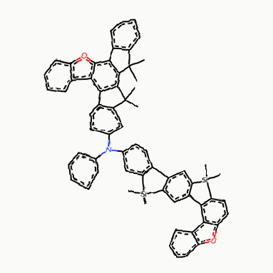 CC1(C)c2ccccc2-c2c1c1c(c3c2oc2ccccc23)-c2ccc(N(c3ccccc3)c3ccc4c(c3)[Si](C)(C)c3cc5c(cc3-4)[Si](C)(C)c3ccc4oc6ccccc6c4c3-5)cc2C1(C)C